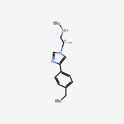 C[C@@H](CNC(C)(C)C)n1cnc(-c2ccc(CC(C)(C)C)cc2)c1